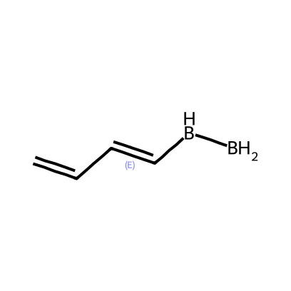 BB/C=C/C=C